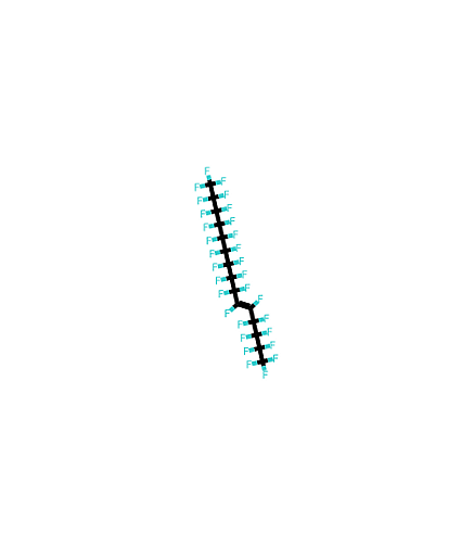 FC(=C(F)C(F)(F)C(F)(F)C(F)(F)C(F)(F)C(F)(F)C(F)(F)C(F)(F)C(F)(F)C(F)(F)F)C(F)(F)C(F)(F)C(F)(F)C(F)(F)F